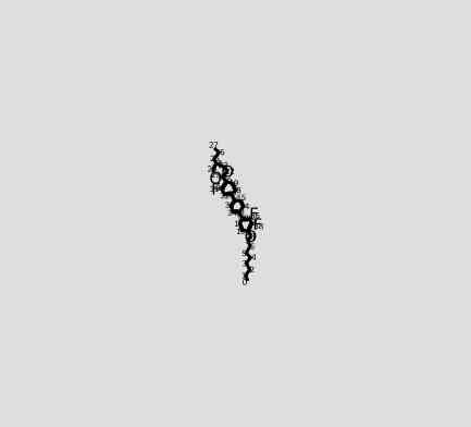 CCCCCCCCOc1ccc(-c2ccc(-c3ccc(C4OCC(CCC)CO4)c(F)c3)cc2)c(F)c1F